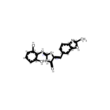 Cc1nc2ccc(/C=C3\S/C(=N/c4c(Cl)cccc4Cl)NC3=O)cc2o1